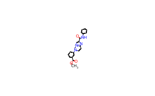 COC(=O)c1cccc(N2C=CC3=NC(C(=O)Nc4ccccc4)=C[N+]3C2)c1